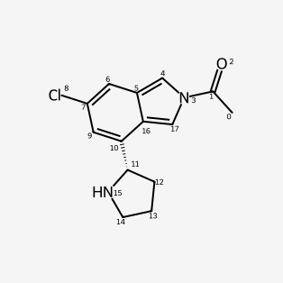 CC(=O)n1cc2cc(Cl)cc([C@@H]3CCCN3)c2c1